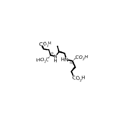 CC(CN[C@@H](CCC(=O)O)C(=O)O)N[C@@H](CCC(=O)O)C(=O)O